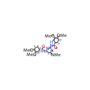 CNc1cc(NC(=O)c2ccc(OC)c(OC)c2)nc(NC(=O)c2ccc(OC)c(OC)c2)n1